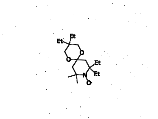 CCC1(CC)COC2(CC(C)(C)N([O])C(CC)(CC)C2)OC1